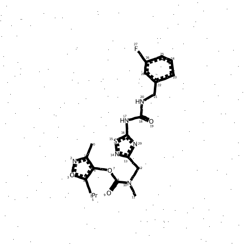 Cc1noc(C(C)C)c1OC(=O)N(C)Cc1nsc(NC(=O)NCc2cccc(F)c2)n1